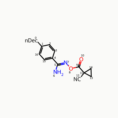 CCCCCCCCCCc1ccc(/C(N)=N/OC(=O)C2(C#N)CC2)cc1